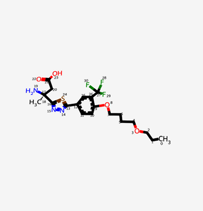 CCCOCCCCOc1ccc(-c2nnc([C@@](C)(N)CC(=O)O)s2)cc1C(F)(F)F